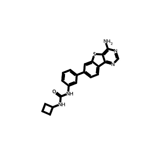 Nc1ncnc2c1sc1cc(-c3cccc(NC(=O)NC4CCC4)c3)ccc12